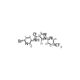 Cc1nc(Br)ccc1NC(=O)c1cnn(-c2ccc(C(F)(F)F)cn2)c1C